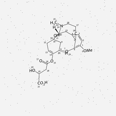 COc1ccc2c3c1O[C@@H]1C[C@@](O)(CC=C1OC(=O)CC(O)C(=O)O)[C@@H](C2)N(C)CCC3